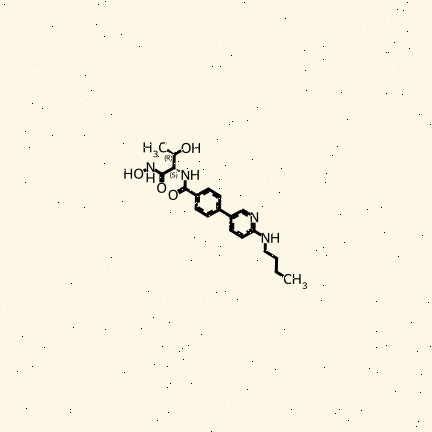 CCCCNc1ccc(-c2ccc(C(=O)N[C@H](C(=O)NO)[C@@H](C)O)cc2)cn1